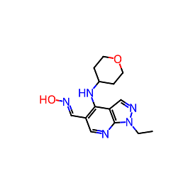 CCn1ncc2c(NC3CCOCC3)c(C=NO)cnc21